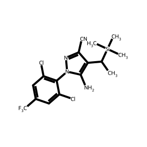 CC(c1c(C#N)nn(-c2c(Cl)cc(C(F)(F)F)cc2Cl)c1N)[Si](C)(C)C